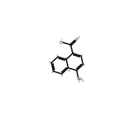 Bc1ccc(C(=O)Cl)c2ccccc12